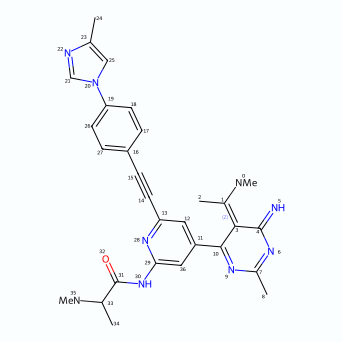 CN/C(C)=C1\C(=N)N=C(C)N=C1c1cc(C#Cc2ccc(-n3cnc(C)c3)cc2)nc(NC(=O)C(C)NC)c1